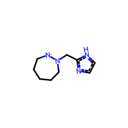 c1c[nH]c(CN2CCCCC[N]2)n1